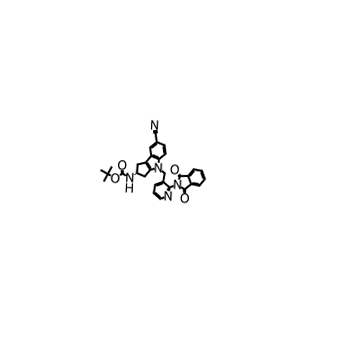 CC(C)(C)OC(=O)N[C@@H]1Cc2c(n(Cc3cccnc3N3C(=O)c4ccccc4C3=O)c3ccc(C#N)cc23)C1